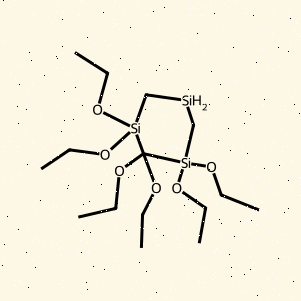 CCOC1(OCC)[Si](OCC)(OCC)C[SiH2]C[Si]1(OCC)OCC